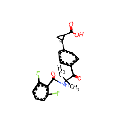 CC(C)(NC(=O)c1c(F)cccc1F)C(=O)c1ccc([C@H]2CC2C(=O)O)cc1